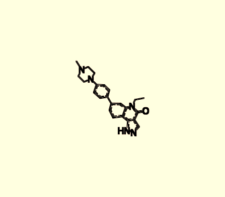 CCn1c(=O)c2cn[nH]c2c2ccc(-c3ccc(N4CCN(C)CC4)cc3)cc21